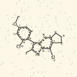 COc1ccc(-c2c(C)nn3c(Cl)c4c(nc23)CCC4)c(Cl)c1